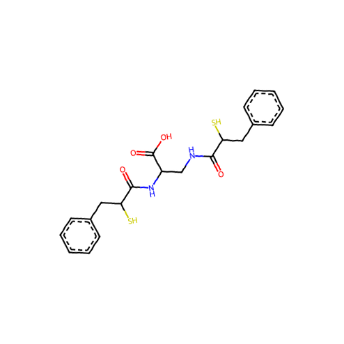 O=C(NCC(NC(=O)C(S)Cc1ccccc1)C(=O)O)C(S)Cc1ccccc1